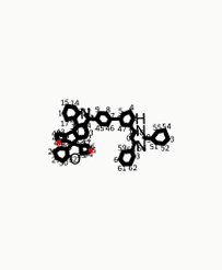 C1=C(c2cccc(-c3ccc(-c4nc5ccccc5c5c6c(ccc45)C4(c5ccccc5Oc5ccccc54)c4ccccc4-6)cc3)c2)NC(c2ccccc2)N=C1c1ccccc1